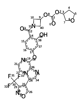 O=C(OC1CCOC1)OC1CN(C(=O)c2ccc(Oc3nccn4c(-c5conc5C(F)(F)F)cnc34)cc2O)C1